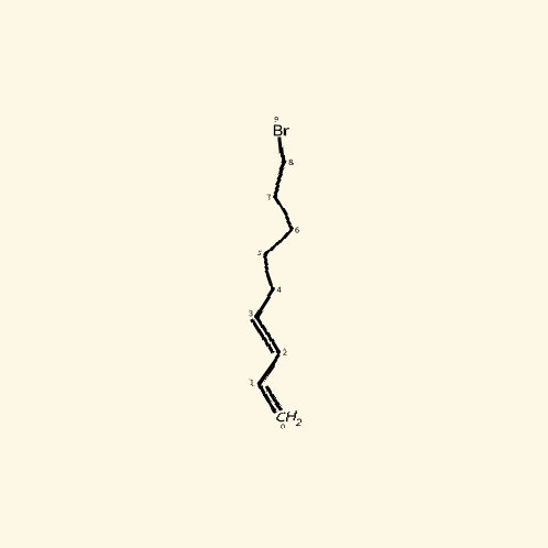 C=CC=CCCCCCBr